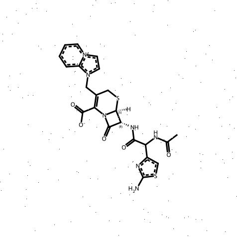 CC(=O)NC(C(=O)N[C@@H]1C(=O)N2C(C(=O)[O-])=C(Cn3cc[n+]4ccccc34)CS[C@@H]12)c1csc(N)n1